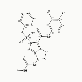 CNC(=O)NC1CCc2c1cn(S(=O)(=O)Cc1ccccc1)c2C(=O)Nc1ccc(F)c(Cl)c1